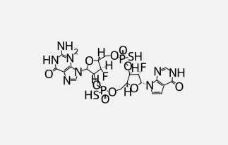 Nc1nc2c(ncn2C2O[C@@H]3COP(=O)(S)O[C@H]4[C@H](F)[C@H](n5ccc6c(=O)[nH]cnc65)O[C@@H]4COP(=O)(S)O[C@@H]2[C@@H]3F)c(=O)[nH]1